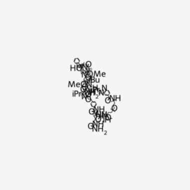 CC[C@H](C)[C@@H]([C@@H](CC(=O)N1CCC[C@H]1[C@H](OC)[C@@H](C)C(=O)N[C@H](C)[C@@H](O)c1ccccc1)OC)N(C)C(=O)[C@@H](NC(=O)[C@H](C(C)C)N(C)C(=O)OCc1ccc(NC(=O)[C@H](CCCNC(N)=O)NC(=O)[C@@H](NC(=O)CCC(C)(C)OCCC(C)(C)NC(=O)c2ccc(N)c(N)c2)C(C)C)cc1)C(C)C